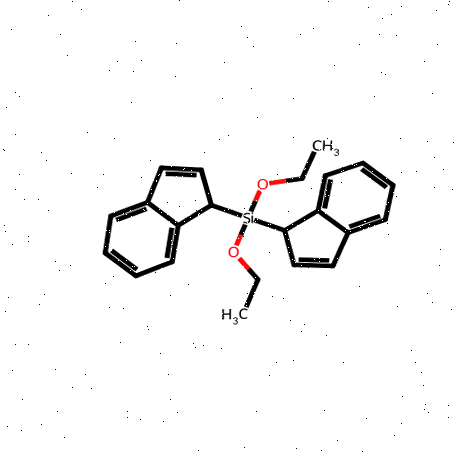 CCO[Si](OCC)(C1C=Cc2ccccc21)C1C=Cc2ccccc21